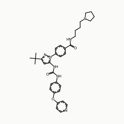 CC(C)(C)c1cc(NC(=O)Nc2ccc(Oc3ccncc3)cc2)n(-c2ccc(C(=O)NCCCCN3CCCC3)cc2)n1